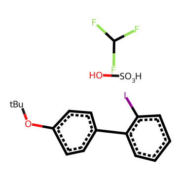 CC(C)(C)Oc1ccc(-c2ccccc2I)cc1.FC(F)F.O=S(=O)(O)O